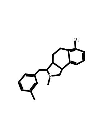 Cc1cccc(CC2C3CCc4c(cccc4C(F)(F)F)C3CN2C)c1